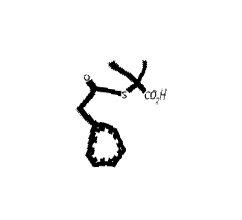 CC(C)(SC(=O)Cc1ccccc1)C(=O)O